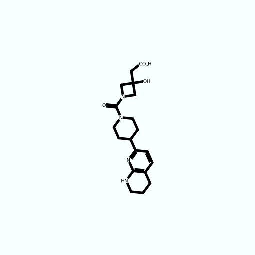 O=C(O)CC1(O)CN(C(=O)N2CCC(c3ccc4c(n3)NCCC4)CC2)C1